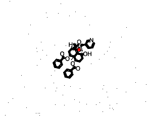 CC1(C)O[C@]23[C@H](OC(=O)c4cccnc4)[C@H]1C[C@H](OC(=O)c1ccccc1)[C@]2(C)[C@@H](OC(=O)c1ccccc1)CC[C@]3(C)O